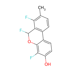 Cc1ccc2c(c1F)C(F)Oc1c-2ccc(O)c1F